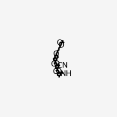 C=C(C)C(=O)OCCCCCCOc1ccc2cc(C(=O)Oc3ccc(C(=O)OC4CCC(C)CC4C=N)cc3C#N)ccc2c1